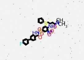 CN(C)C(=O)CC(CSc1ccccc1)Nc1ccc(S(=O)(=O)NC(=O)c2ccc(-c3ccc(F)cc3)cc2)cc1[N+](=O)[O-]